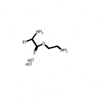 CCC(N)C(=S)OCCN.Cl.Cl